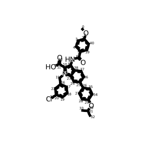 COc1ccc(C(=O)Nc2c(C(=O)O)n(Cc3cccc(Cl)c3)c3cc(-c4ccc(OC(C)C)cc4)ccc23)cc1